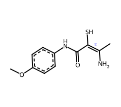 COc1ccc(NC(=O)/C(S)=C(/C)N)cc1